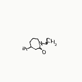 C=CN1CCCC(C(C)C)CC1=O